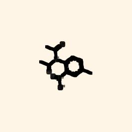 CC(=O)N(C(C)=O)c1ccc(C)cc1[N+](=O)[O-]